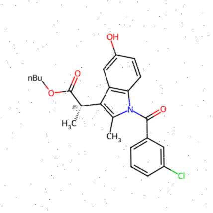 CCCCOC(=O)[C@@H](C)c1c(C)n(C(=O)c2cccc(Cl)c2)c2ccc(O)cc12